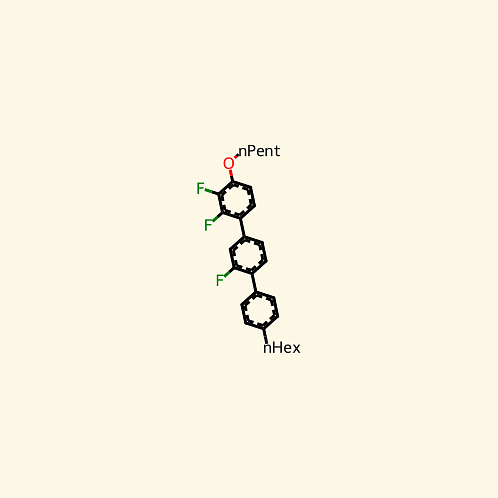 CCCCCCc1ccc(-c2ccc(-c3ccc(OCCCCC)c(F)c3F)cc2F)cc1